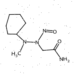 CN(C1CCCCC1)N(CC(N)=O)N=O